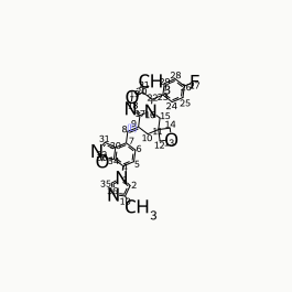 Cc1cn(-c2ccc(/C=C3\CC4(COC4)CN4C3=NOC(C)C4c3ccc(F)cc3)c3cnoc23)cn1